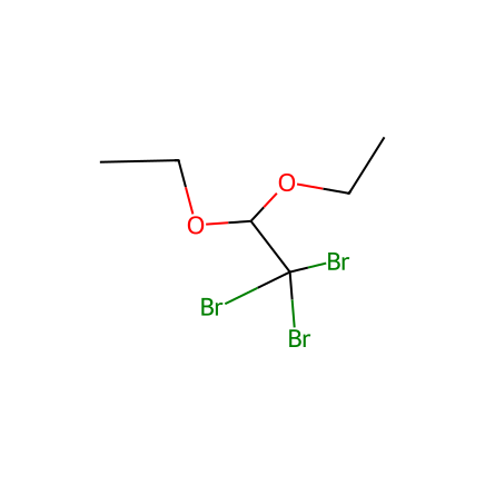 CCOC(OCC)C(Br)(Br)Br